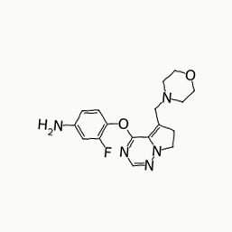 Nc1ccc(OC2=NC=NN3CCC(CN4CCOCC4)=C23)c(F)c1